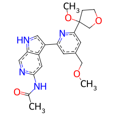 COCc1cc(-c2c[nH]c3cnc(NC(C)=O)cc23)nc(C2(OC)CCOC2)c1